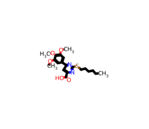 CCCCCCSc1nc(C(=O)O)cc(-c2cc(OC)c(OC)c(OC)c2)n1